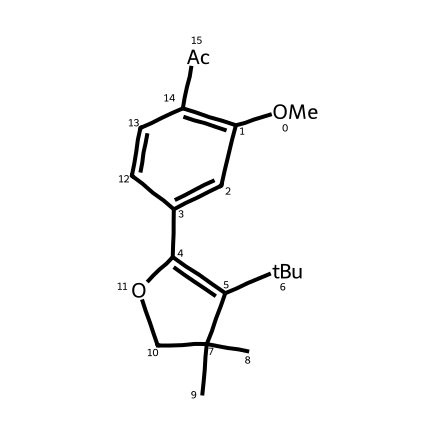 COc1cc(C2=C(C(C)(C)C)C(C)(C)CO2)ccc1C(C)=O